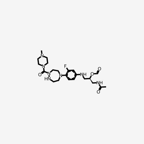 CC(=O)NC[C@@H](CNc1ccc(N2CCNN(C(=O)N3CCN(C)CC3)CC2)c(F)c1)OC=O